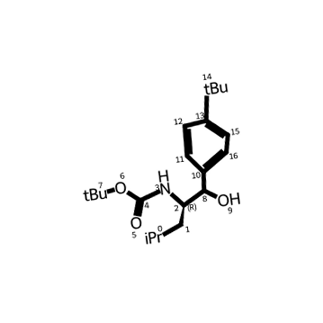 CC(C)C[C@@H](NC(=O)OC(C)(C)C)C(O)c1ccc(C(C)(C)C)cc1